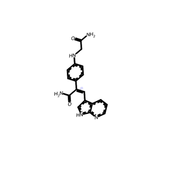 NC(=O)CNc1ccc(/C(=C/c2c[nH]c3ncccc23)C(N)=O)cc1